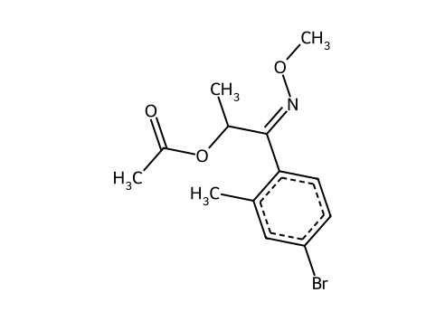 CO/N=C(/c1ccc(Br)cc1C)C(C)OC(C)=O